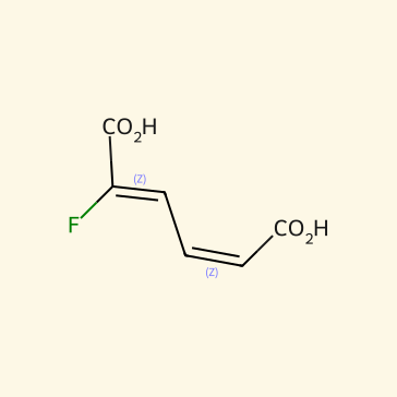 O=C(O)/C=C\C=C(/F)C(=O)O